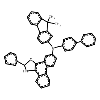 CC1(C)c2ccccc2-c2ccc(N(c3ccc(-c4ccccc4)cc3)c3ccc4c(c3)c3c(c5ccccc54)NC(c4ccccc4)O3)cc21